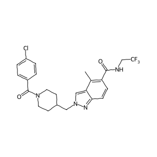 Cc1c(C(=O)NCC(F)(F)F)ccc2nn(CC3CCN(C(=O)c4ccc(Cl)cc4)CC3)cc12